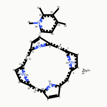 C1=Cc2cc3ccc(cc4nc(cc5ccc(cc1n2)[nH]5)C=C4)[nH]3.Cc1cc[n+](C)c(C)c1C.[Zn+2]